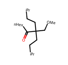 [CH2]C(C)CCC(CCC(C)C)(COC)C(=O)CCCCCC